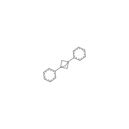 c1ccc(C23CC(c4ccccc4)(C2)C3)cc1